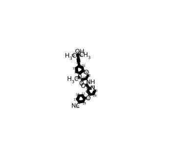 CN1C(=O)[C@H](NC(=O)c2cc(Oc3cccc(C#N)c3)ccn2)COc2cc(C#CC(C)(C)O)ccc21